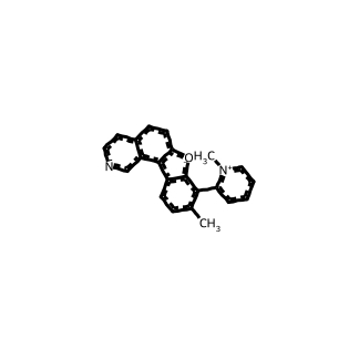 Cc1ccc2c(oc3ccc4ccncc4c32)c1-c1cccc[n+]1C